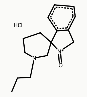 CCCN1CCCC2(C1)c1ccccc1C[N+]2=O.Cl